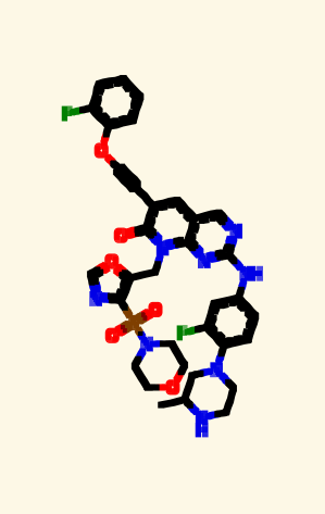 CC1CN(c2ccc(Nc3ncc4cc(C#COc5ccccc5F)c(=O)n(Cc5ocnc5S(=O)(=O)N5CCOCC5)c4n3)cc2F)CCN1